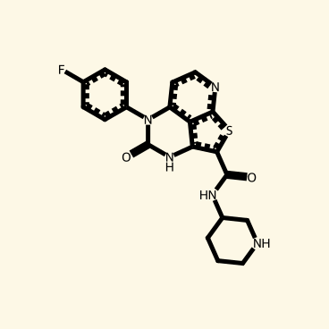 O=C(NC1CCCNC1)c1sc2nccc3c2c1NC(=O)N3c1ccc(F)cc1